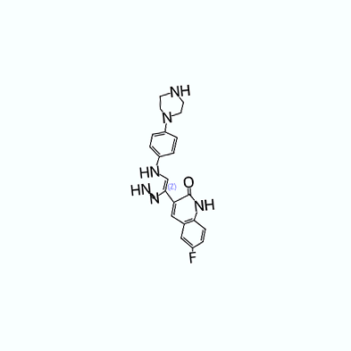 N=N/C(=C\Nc1ccc(N2CCNCC2)cc1)c1cc2cc(F)ccc2[nH]c1=O